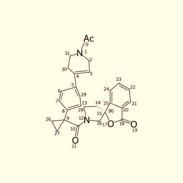 CC(=O)N1CC=C(c2ccc(C3(C(=O)N4CC[C@@]5(C4)OC(=O)c4ccccc45)CC3)cc2)CC1